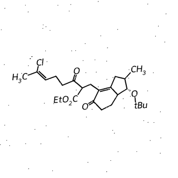 CCOC(=O)C(CC1=C2CC(C)[C@H](OC(C)(C)C)C2CCC1=O)C(=O)CCC=C(C)Cl